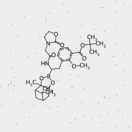 COc1c(CC(NC(=O)CN2CCOC2=O)B2OC3CC4CC(C4(C)C)C3(C)O2)cccc1C(=O)OC(C)(C)C